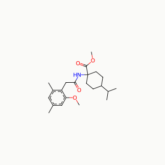 COC(=O)C1(NC(=O)Cc2c(C)cc(C)cc2OC)CCC(C(C)C)CC1